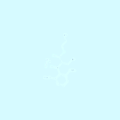 COc1cccc(OC)c1C(=O)C(CC(C)C)C(=O)OCCC(C)C.O=[PH3]